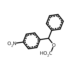 O=C(O)OC(c1ccccc1)c1ccc([N+](=O)[O-])cc1